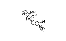 Cc1ccc2c(N)c(C(=O)N[C@H]3CCc4cc(N5CC6CCC(C5)N6C)c(C#N)cc4C3)sc2n1